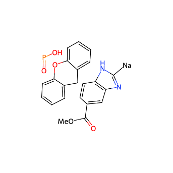 COC(=O)c1ccc2[nH][c]([Na])nc2c1.O=PO.c1ccc2c(c1)Cc1ccccc1O2